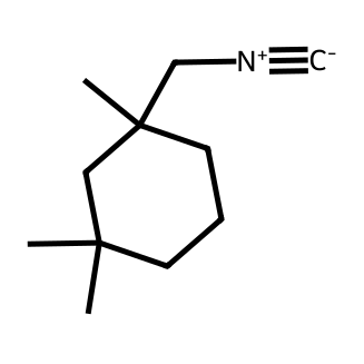 [C-]#[N+]CC1(C)CCCC(C)(C)C1